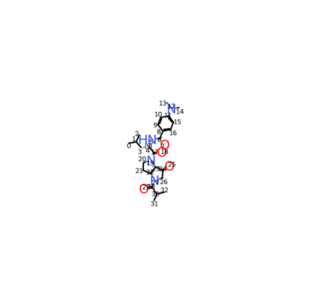 CC(C)C[C@H](NC(=O)c1ccc(N(C)C)cc1)C(=O)N1CCC2C1C(=O)CN2C(=O)C(C)C